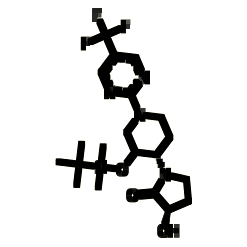 CC(C)(C)[Si](C)(C)OC1CN(c2ncc(C(F)(F)F)cn2)CC[C@@H]1N1CC[C@@H](O)C1=O